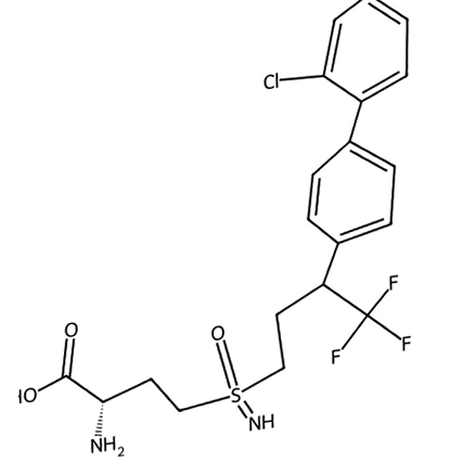 N=S(=O)(CCC(c1ccc(-c2ccccc2Cl)cc1)C(F)(F)F)CC[C@H](N)C(=O)O